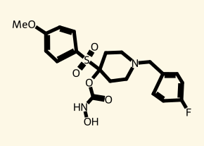 COc1ccc(S(=O)(=O)C2(OC(=O)NO)CCN(Cc3ccc(F)cc3)CC2)cc1